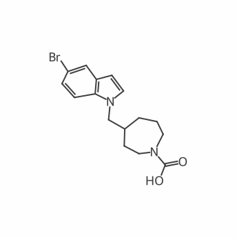 O=C(O)N1CCCC(Cn2ccc3cc(Br)ccc32)CC1